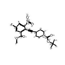 COC(=O)c1cc(F)cc([N+](=O)[O-])c1C#CC1CCN(C(=O)OC(C)(C)C)CC1